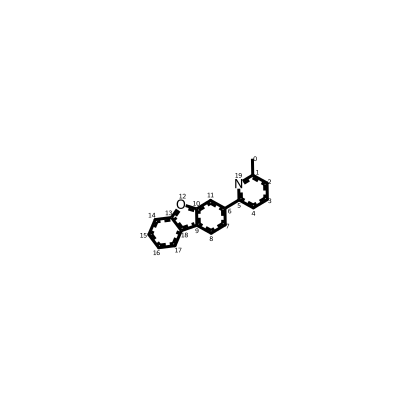 Cc1cccc(-c2ccc3c(c2)oc2ccccc23)n1